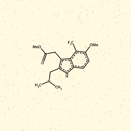 COC(=O)Cc1c(CN(C)C)[nH]c2ccc(OC)c(C(F)(F)F)c12